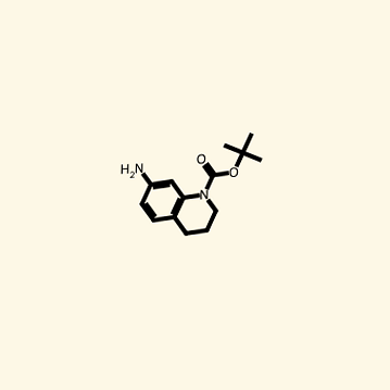 CC(C)(C)OC(=O)N1CCCc2ccc(N)cc21